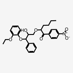 CCCCC(OCC(O)C(Oc1ccccc1OCC)c1ccccc1)C(=O)c1ccc([N+](=O)[O-])cc1